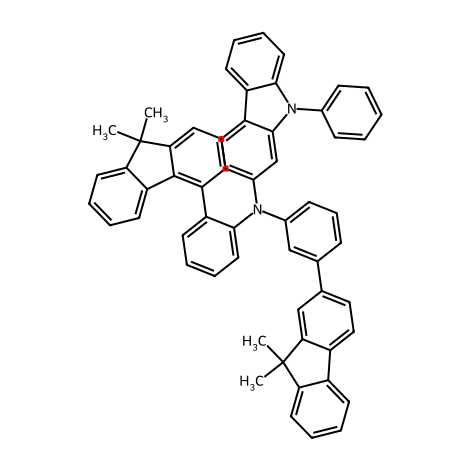 CC1(C)c2ccccc2-c2ccc(-c3cccc(N(c4ccc5c6ccccc6n(-c6ccccc6)c5c4)c4ccccc4-c4cccc5c4-c4ccccc4C5(C)C)c3)cc21